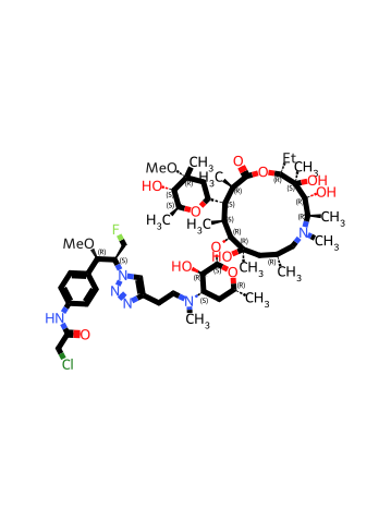 CC[C@H]1OC(=O)[C@H](C)[C@@H](C2C[C@@](C)(OC)[C@@H](O)[C@H](C)O2)[C@H](C)[C@@H](O[C@@H]2O[C@H](C)C[C@H](N(C)CCc3cn([C@H](CF)[C@H](OC)c4ccc(NC(=O)CCl)cc4)nn3)[C@H]2O)[C@](C)(O)C[C@@H](C)CN(C)[C@H](C)[C@@H](O)[C@]1(C)O